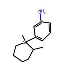 CC1CCCC[Si]1(C)c1cccc(N)c1